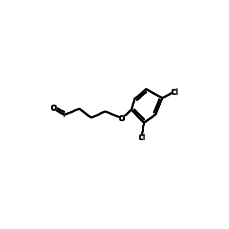 O=[C]CCCOc1ccc(Cl)cc1Cl